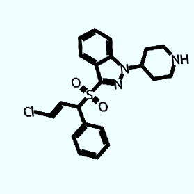 O=S(=O)(c1nn(C2CCNCC2)c2ccccc12)C(C=CCl)c1ccccc1